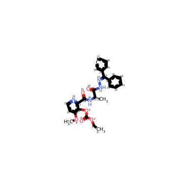 CCOC(=O)Oc1c(OC)ccnc1C(=O)N[C@@H](C)C(=O)NN=C(c1ccccc1)c1ccccc1